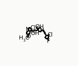 COc1ccc2ncc(Cl)c([C@H](O)CCC3(CO)CCN(CC#Cc4ccc(F)cc4Cl)CC3)c2c1